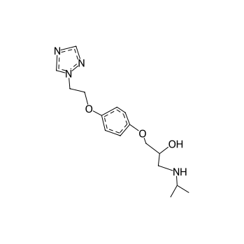 CC(C)NCC(O)COc1ccc(OCCn2cncn2)cc1